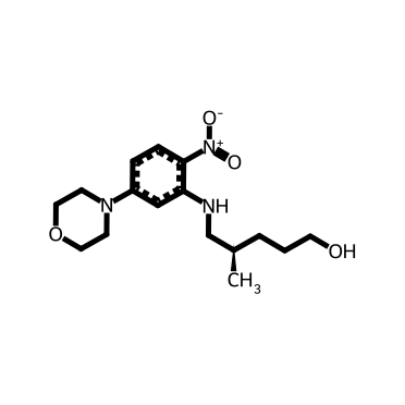 C[C@H](CCCO)CNc1cc(N2CCOCC2)ccc1[N+](=O)[O-]